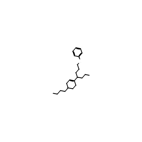 CCCCC1CC=C(C(CCC)CCCOc2ccccc2)CC1